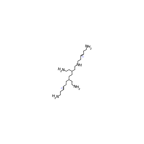 NCC/C=C/CCNCCC(CCN)CCC(CCN)CC/C=C/CCN